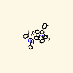 Cc1cccc(-c2ccc3c(c2)c2ccccc2n3-c2c(-c3ccccc3C(F)(F)F)cc(-c3cc(-c4ccccc4)nc(-c4ccccc4)n3)cc2-c2ccccc2C(F)(F)F)c1